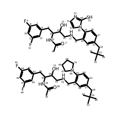 CC(=O)NC(Cc1cc(F)cc(F)c1)C(O)CNCc1cc(CC(C)(C)C)ccc1-n1ccnc1S.CC(=O)NC(Cc1cc(F)cc(F)c1)C(O)CNCc1cc(CC(C)(C)C)ccc1N1CCCC1